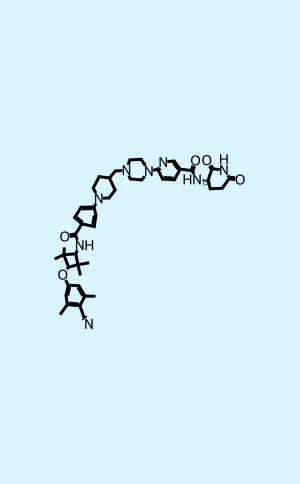 Cc1cc(OC2C(C)(C)C(NC(=O)c3ccc(N4CCC(CN5CCN(c6ccc(C(=O)N[C@H]7CCC(=O)NC7=O)cn6)CC5)CC4)cc3)C2(C)C)cc(C)c1C#N